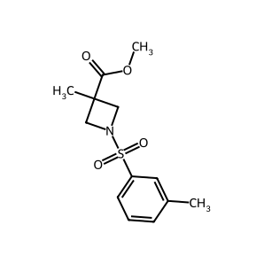 COC(=O)C1(C)CN(S(=O)(=O)c2cccc(C)c2)C1